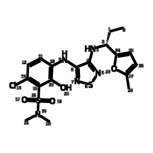 CC[C@@H](Nc1nsnc1Nc1ccc(Cl)c(S(=O)(=O)N(C)C)c1O)c1ccc(C)o1